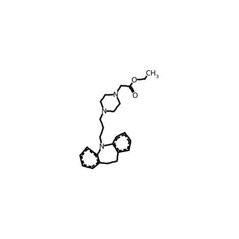 CCOC(=O)CN1CCN(CCCN2c3ccccc3CCc3ccccc32)CC1